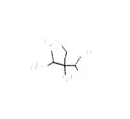 CC(C)C(N)(C[AsH2])C(C)C